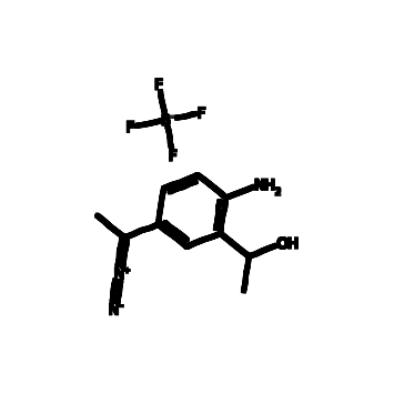 CC(=[N+]=[N-])c1ccc(N)c(C(C)O)c1.F[B-](F)(F)F